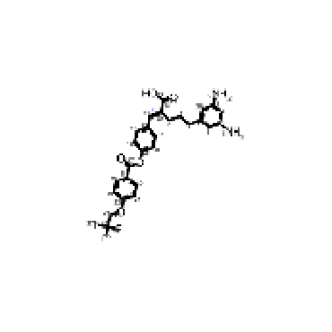 Nc1cc(N)cc(CCC/C(=C\c2ccc(OC(=O)c3ccc(OCC(F)(F)F)cc3)cc2)C(=O)O)c1